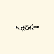 CCCCOc1ccc(C2CCC(C3CCC(CCCC)CC3)CC2C)cc1